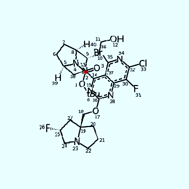 CC(C)(C)OC(=O)N1[C@@H]2CC[C@H]1[C@H](CCO)N(c1nc(OC[C@@]34CCCN3C[C@H](F)C4)nc3c(F)c(Cl)nc(Br)c13)C2